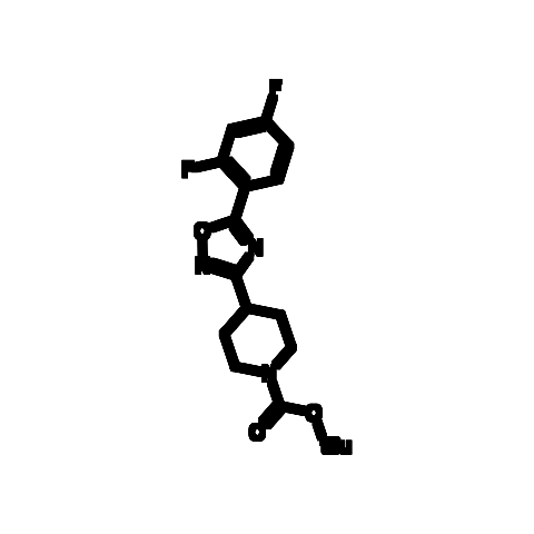 CC(C)(C)OC(=O)N1CCC(c2noc(-c3ccc(F)cc3F)n2)CC1